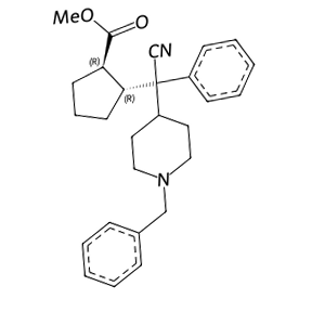 COC(=O)[C@@H]1CCC[C@H]1C(C#N)(c1ccccc1)C1CCN(Cc2ccccc2)CC1